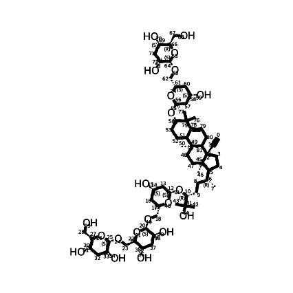 C#C[C@@]12CCC([C@H](C)CC[C@@H](O[C@H]3C[C@@H](O)C[C@@H](CO[C@H]4O[C@H](CO[C@H]5O[C@H](CO)[C@@H](O)C[C@H]5O)[C@@H](O)C[C@H]4O)O3)C(C)(C)O)[C@@]1(C)CC[C@@]1(C)C3CC[C@H](O[C@H]4C[C@@H](O)C[C@@H](CO[C@H]5O[C@H](CO)[C@@H](O)C[C@H]5O)O4)C(C)(C)C3=CCC12